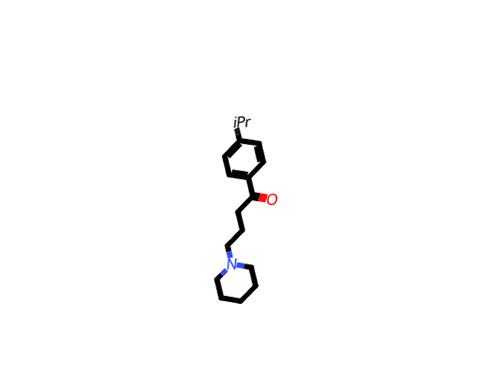 CC(C)c1ccc(C(=O)CCCN2CCCCC2)cc1